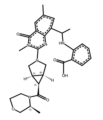 Cc1cc(C(C)Nc2ccccc2C(=O)O)c2nc(N3C[C@@H]4[C@H](C3)[C@@H]4C(=O)N3CCOC[C@@H]3C)n(C)c(=O)c2c1